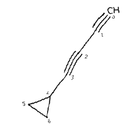 C#CC#CC1CC1